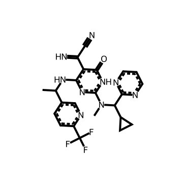 CC(Nc1nc(N(C)C(c2ncccn2)C2CC2)[nH]c(=O)c1C(=N)C#N)c1ccc(C(F)(F)F)nc1